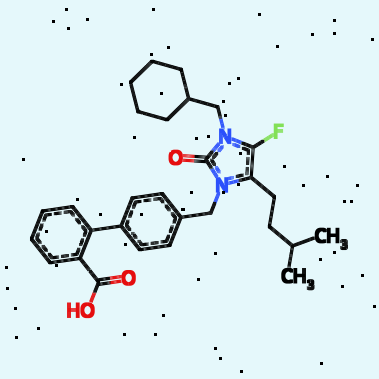 CC(C)CCc1c(F)n(CC2CCCCC2)c(=O)n1Cc1ccc(-c2ccccc2C(=O)O)cc1